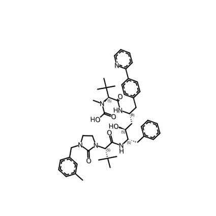 Cc1cccc(CN2CCN([C@H](C(=O)N[C@@H](Cc3ccccc3)[C@@H](O)C[C@@H](Cc3ccc(-c4ccccn4)cc3)NC(=O)[C@@H](N(C)C(=O)O)C(C)(C)C)C(C)(C)C)C2=O)c1